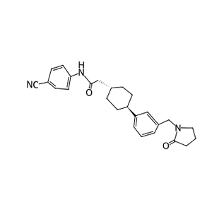 N#Cc1ccc(NC(=O)C[C@H]2CC[C@H](c3cccc(CN4CCCC4=O)c3)CC2)cc1